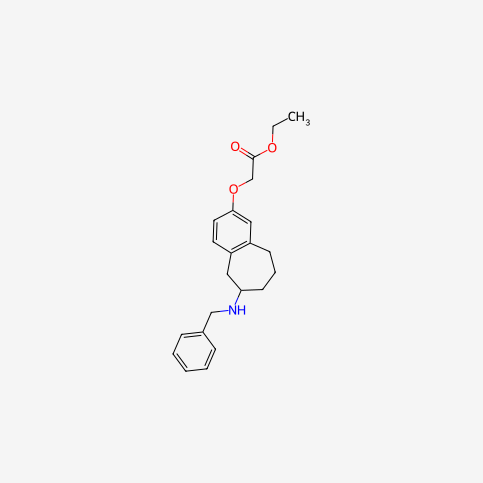 CCOC(=O)COc1ccc2c(c1)CCCC(NCc1ccccc1)C2